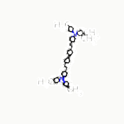 Cc1ccc(N(C2=CC(C)C(C)C=C2)c2ccc(/C=C/c3ccc(-c4ccc(/C=C/c5ccc(N(c6ccc(C)cc6)c6ccc(C)cc6)cc5)cc4)cc3)cc2)cc1